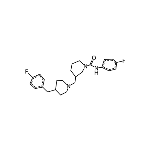 O=C(Nc1ccc(F)cc1)N1CCCC(CN2CCC(Cc3ccc(F)cc3)CC2)C1